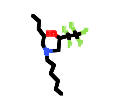 CCCCCCN(CCCCC)CC(O)C(F)(F)C(F)(F)F